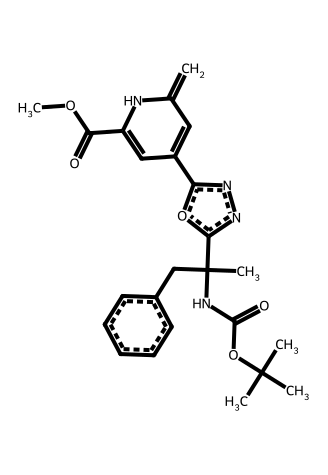 C=C1C=C(c2nnc(C(C)(Cc3ccccc3)NC(=O)OC(C)(C)C)o2)C=C(C(=O)OC)N1